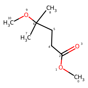 COC(=O)CCC(C)(C)OC